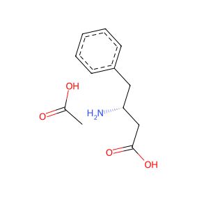 CC(=O)O.N[C@@H](CC(=O)O)Cc1ccccc1